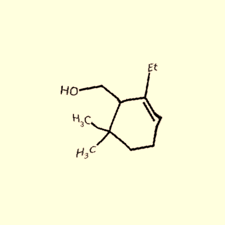 CCC1=CCCC(C)(C)C1CO